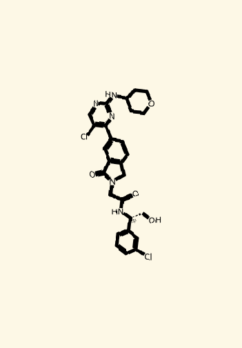 O=C(CN1Cc2ccc(-c3nc(NC4CCOCC4)ncc3Cl)cc2C1=O)N[C@H](CO)c1cccc(Cl)c1